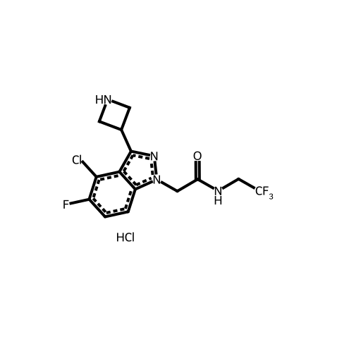 Cl.O=C(Cn1nc(C2CNC2)c2c(Cl)c(F)ccc21)NCC(F)(F)F